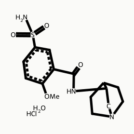 COc1ccc(S(N)(=O)=O)cc1C(=O)NC1CN2CCC1CC2.Cl.O